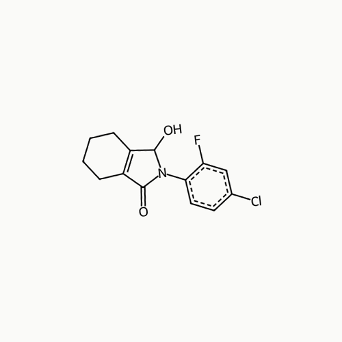 O=C1C2=C(CCCC2)C(O)N1c1ccc(Cl)cc1F